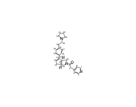 O=C(Cc1ccncc1)N1C[C@H]2CC=C(c3ccc(CCN4CCCC4)cc3)[C@H]2C1